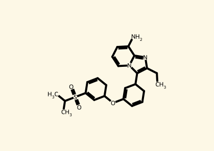 CCc1nc2c(N)cccn2c1C1C=C(OC2C=C(S(=O)(=O)C(C)C)C=CC2)C=CC1